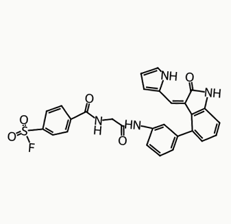 O=C(CNC(=O)c1ccc(S(=O)(=O)F)cc1)Nc1cccc(-c2cccc3c2/C(=C/c2ccc[nH]2)C(=O)N3)c1